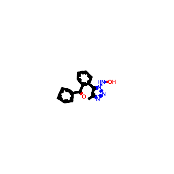 Cc1nnn(NO)c1-c1ccccc1C(=O)c1ccccc1